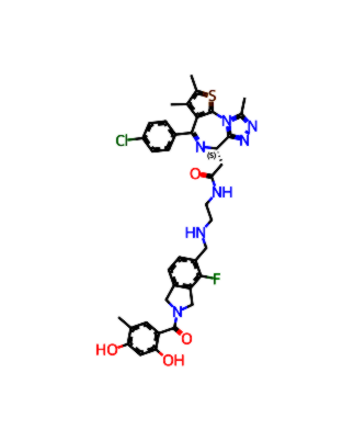 Cc1cc(C(=O)N2Cc3ccc(CNCCNC(=O)C[C@@H]4N=C(c5ccc(Cl)cc5)c5c(sc(C)c5C)-n5c(C)nnc54)c(F)c3C2)c(O)cc1O